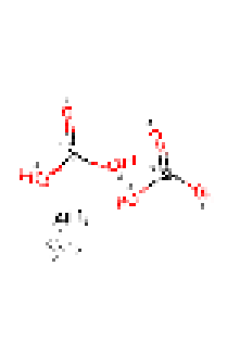 O=[Si](O)O.O=[Si](O)O.[AlH3].[CaH2]